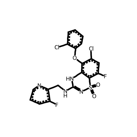 O=S1(=O)N=C(NCc2ncccc2F)Nc2c(Oc3ccccc3Cl)c(Cl)cc(F)c21